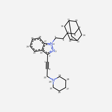 C(#Cc1nn(CCC23CC4CC(CC(C4)C2)C3)c2ccccc12)CN1CCCCC1